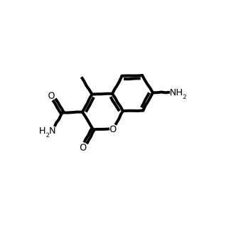 Cc1c(C(N)=O)c(=O)oc2cc(N)ccc12